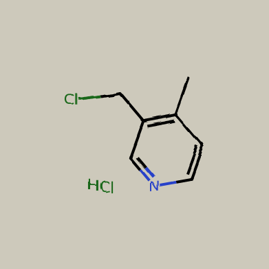 Cc1ccncc1CCl.Cl